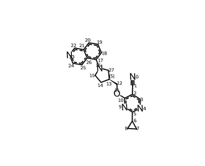 N#Cc1cnc(C2CC2)nc1OC[C@H]1CCN(c2cccc3cnccc23)C1